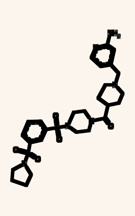 Nc1cc(CN2CCC(C(=O)N3CCN(S(=O)(=O)c4cccc(S(=O)(=O)N5CCCC5)c4)CC3)CC2)ccn1